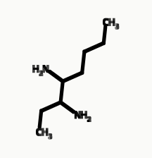 CCCCC(N)C(N)CC